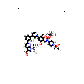 COc1cc(-c2nccc(-c3cccc(-c4ccc5c(C=O)cn(C)c5n4)c3Cl)c2Cl)ccc1CN(C(=O)OC(C)(C)C)C1CCN(C(C)=O)CC1